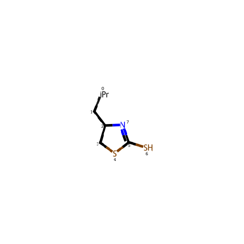 CC(C)CC1CSC(S)=N1